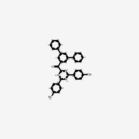 N#Cc1ccc(-c2nc(C(=O)c3cc(-c4ccccc4)cc(-c4ccccc4)c3)nc(-c3ccc(C#N)cc3)n2)cc1